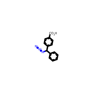 [N-]=[N+]=NC(c1ccccc1)c1ccc(C(=O)O)cc1